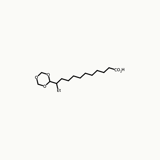 CCC(CCCCCCCCCC(=O)O)C1OCOCO1